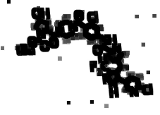 CC(C)(C)OC(=O)N1C[C@H](O)C[C@H]1C(=O)N1CCN(C(=O)c2ccc(NC(=O)c3ncc(Cc4c(C(F)(F)F)n[nH]c4-c4ccc(Cl)nc4)[nH]3)cc2Cl)CC1